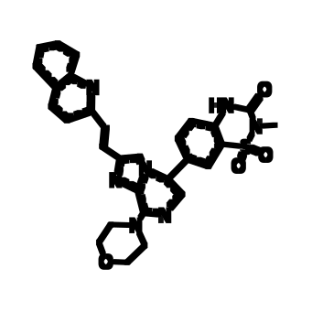 CN1C(=O)Nc2ccc(-c3cnc(N4CCOCC4)c4nc(C=Cc5ccc6ccccc6n5)cn34)cc2S1(=O)=O